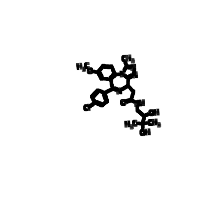 COc1ccc2c(c1)C(c1ccc(Cl)cc1)=N[C@H](CC(=O)NCC(O)C(C)(C)O)c1nnc(C)n1-2